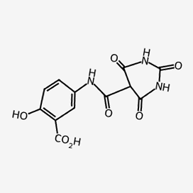 O=C1NC(=O)C(C(=O)Nc2ccc(O)c(C(=O)O)c2)C(=O)N1